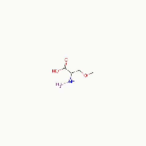 COCC(NP)C(=O)O